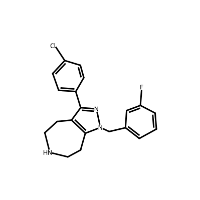 Fc1cccc(Cn2nc(-c3ccc(Cl)cc3)c3c2CCNCC3)c1